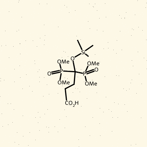 COP(=O)(OC)C(CCC(=O)O)(O[Si](C)(C)C)P(=O)(OC)OC